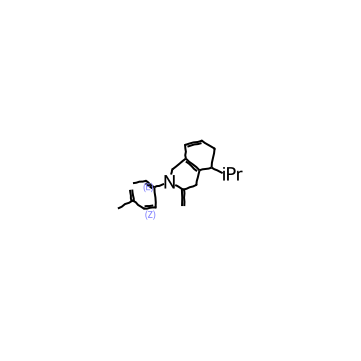 C=C(C)/C=C\C(=C/C)N1CC2=C(CC1=C)C(C(C)C)CC=C2